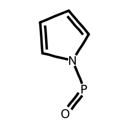 O=Pn1cccc1